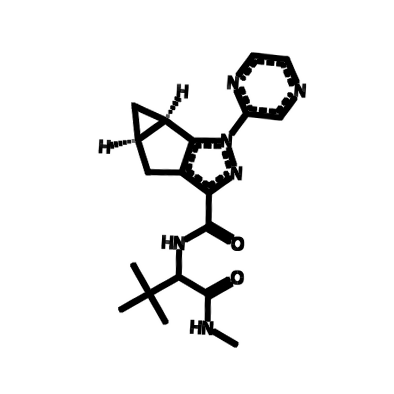 CNC(=O)C(NC(=O)c1nn(-c2cnccn2)c2c1C[C@H]1C[C@@H]21)C(C)(C)C